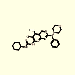 Cc1c(Cl)c(NC(=O)NC2CCCCC2)nc2nc(N(c3ccccc3)N3CCNCC3)ncc12